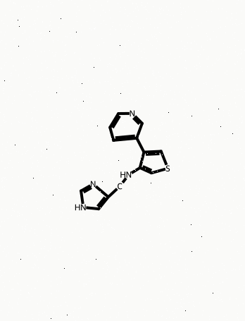 c1cncc(-c2cscc2NCc2c[nH]cn2)c1